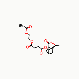 CCC(C)C(=O)OCCOC(=O)CCC(=O)OC1C2CC3C(=O)OC1(C)C3C2